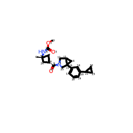 COC(=O)N[C@]1(C)C[C@H](C(=O)N2CC3CC3(c3cccc(C4CC4)c3)C2)C1